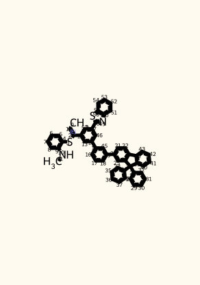 C/C=C(/Sc1ccccc1NC)c1cc(-c2cccc(-c3ccc4c(c3)C(c3ccccc3)(c3ccccc3)c3ccccc3-4)c2)cc(-c2nc3ccccc3s2)c1